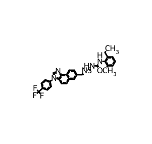 CCc1cccc(C)c1NC(=O)NS/N=C/c1ccc2c(ccc3c2ncn3-c2ccc(C(F)(F)F)cc2)c1